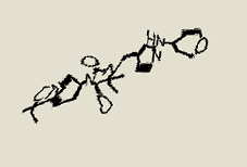 CC(C)(C#N)c1ccc(N2C(=O)N(Cc3ccnc(NC4CCOCC4)c3)C(C)(C)C2=O)cc1